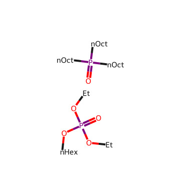 CCCCCCCCP(=O)(CCCCCCCC)CCCCCCCC.CCCCCCOP(=O)(OCC)OCC